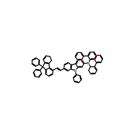 C1=CCC(N(c2ccc3c4ccc(/C=C/c5cccc6c5C5=C(C=CCC5)C6(c5ccccc5)c5ccccc5)cc4n(-c4ccccc4)c3c2)c2ccccc2-c2ccccc2)C(c2ccccc2)=C1